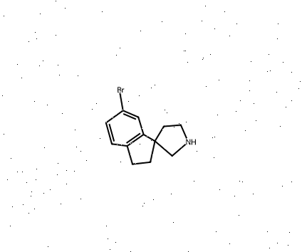 Brc1ccc2c(c1)C1(CCNC1)CC2